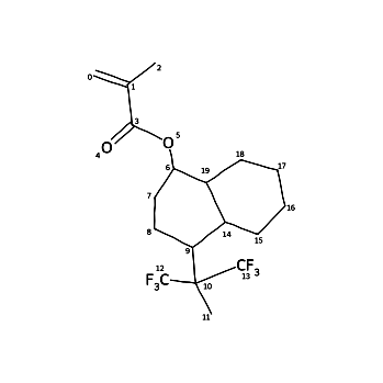 C=C(C)C(=O)OC1CCC(C(C)(C(F)(F)F)C(F)(F)F)C2CCCCC12